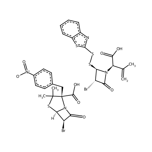 C=C(C)[C@H](C(=O)O)N1C(=O)[C@H](Br)[C@H]1SSc1nc2ccccc2s1.CC1(C)S[C@@H]2[C@H](Br)C(=O)N2[C@@]1(Cc1ccc([N+](=O)[O-])cc1)C(=O)O